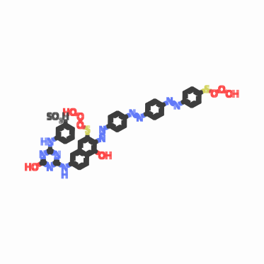 O=S(=O)(O)c1cccc(Nc2nc(O)nc(Nc3ccc4c(O)c(N=Nc5ccc(N=Nc6ccc(N=Nc7ccc(SOOO)cc7)cc6)cc5)c(SOOO)cc4c3)n2)c1